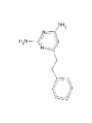 Nc1cc(CCc2ccccc2)nc(N)n1